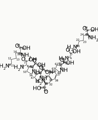 NCC(=O)O.NCC(=O)O.NCCCC[C@H](N)C(=O)O.NCCCC[C@H](N)C(=O)O.N[C@@H](Cc1ccccc1)C(=O)O.O=C(O)[C@@H]1CCCN1.O=C(O)[C@@H]1CCCN1.O=C(O)[C@@H]1CCCN1